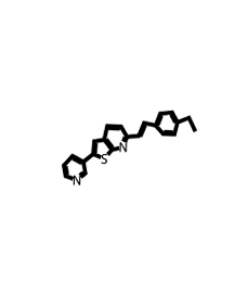 CCc1ccc(/C=C/c2ccc3cc(-c4cccnc4)sc3n2)cc1